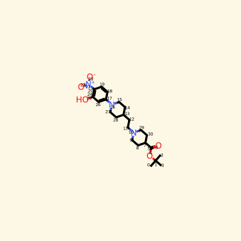 CC(C)(C)OC(=O)C1CCN(CCC2CCN(c3ccc([N+](=O)[O-])c(O)c3)CC2)CC1